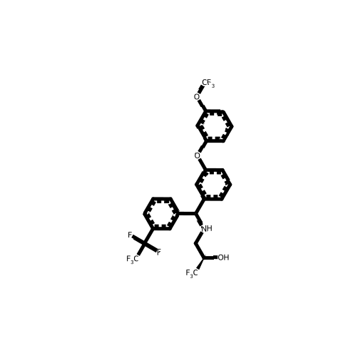 O[C@H](CNC(c1cccc(Oc2cccc(OC(F)(F)F)c2)c1)c1cccc(C(F)(F)C(F)(F)F)c1)C(F)(F)F